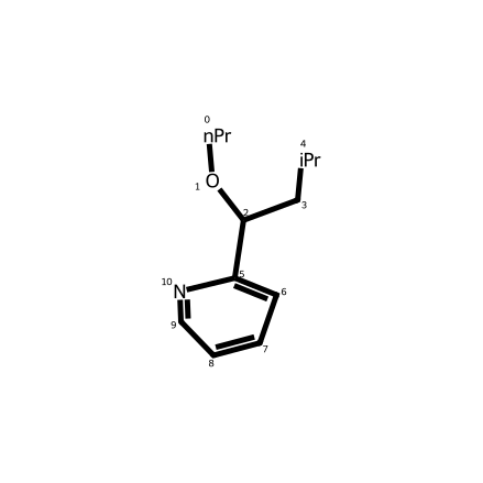 CCCOC(CC(C)C)c1ccccn1